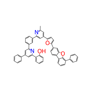 Cc1cc(-c2ccc(-c3ccc4c(c3)oc3c(-c5ccccc5)cccc34)o2)cc(-c2cccc(-c3cc(-c4ccccc4)cc(-c4ccccc4O)n3)c2)n1